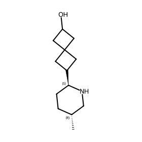 C[C@@H]1CC[C@@H](C2CC3(CC(O)C3)C2)NC1